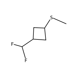 CSC1CC(C(F)F)C1